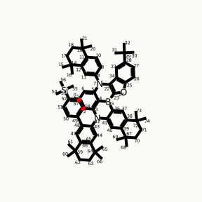 Cc1cc2c3c(c1)N(c1ccc4c(c1)C(C)(C)CCC4(C)C)c1c(oc4ccc(C(C)(C)C)cc14)B3c1cc3c(cc1N2c1cc2c(cc1-c1ccc([Si](C)(C)C)cc1)C(C)(C)CCC2(C)C)C(C)(C)CCC3(C)C